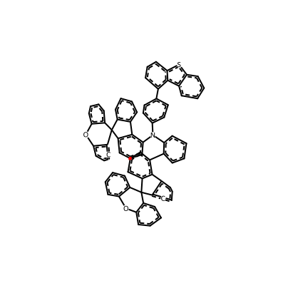 c1ccc2c(c1)Oc1ccccc1C21c2ccccc2-c2c(-c3ccccc3N(c3ccc(-c4cccc5sc6ccccc6c45)cc3)c3cccc4c3-c3ccccc3C43c4ccccc4Oc4ccccc43)cccc21